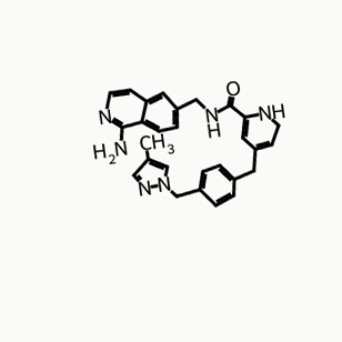 Cc1cnn(Cc2ccc(CC3=CCNC(C(=O)NCc4ccc5c(N)nccc5c4)=C3)cc2)c1